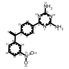 C=C(c1ccc(-c2nc(N)nc(N)n2)cc1)c1cccc([N+](=O)[O-])c1